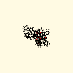 c1ccc(-n2c3ccccc3c3ccc4c5ccccc5n(-c5ccccc5-c5nc(-c6ccccc6-n6c7ccccc7c7ccc8c9ccccc9n(-c9ccccc9)c8c76)nc(-c6ccccc6-n6c7ccccc7c7ccc8c9ccccc9n(-c9ccccc9)c8c76)n5)c4c32)cc1